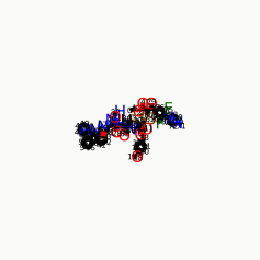 CCOC(=O)c1c(SCC2(C(=O)OCc3ccc(OC)cc3)CS[C@@H]3C(NC(=O)C(=NOC)c4csc(NC(c5ccccc5)(c5ccccc5)c5ccccc5)n4)C(=O)N3C2)sc2c(F)c(N3CCN(C)CC3)c(F)cc2c1=O